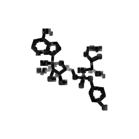 CCCCCCCOC(=O)[C@H](C)NP(=O)(OC[C@H]1O[C@@](C#N)(c2ccc3c(N)ccnn23)[C@](C)(O)[C@@H]1O)Oc1ccc(Cl)cc1